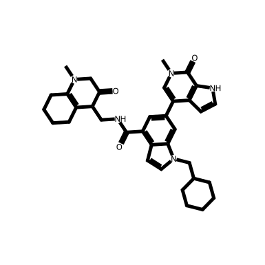 CN1CC(=O)C(CNC(=O)c2cc(-c3cn(C)c(=O)c4[nH]ccc34)cc3c2ccn3CC2CCCCC2)C2=C1CCCC2